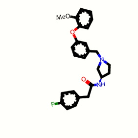 COc1ccccc1Oc1cccc(CN2CC[C@@H](NC(=O)Cc3ccc(F)cc3)C2)c1